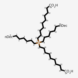 CCCCCCCCCCCCCCCCS(CCCCCCCCCCCCCCCC)(CCCCCCCCCC(=O)O)CCCCCCCCCC(=O)O